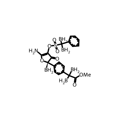 BC(B)(C(=O)OC)c1ccc([C@]2(B)OC(N)=C(OS(=O)(=O)C(B)(B)c3ccccc3)C2=O)cc1